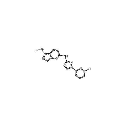 Clc1cccc(-n2ccc(Nc3ccc4c(cnn4PI)c3)n2)n1